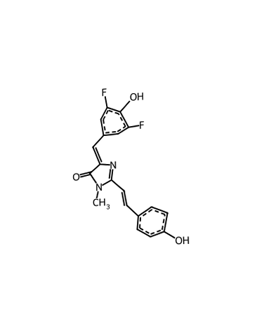 CN1C(=O)/C(=C/c2cc(F)c(O)c(F)c2)N=C1/C=C/c1ccc(O)cc1